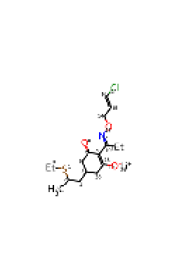 CCSC(C)CC1CC(=O)C(C(CC)=NOC/C=C/Cl)=C([O-])C1.[Li+]